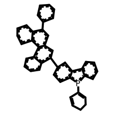 C1=CC(p2c3ccccc3c3cc(-c4cc5cc(-c6ccccc6)c6ccccc6c5c5ccccc45)ccc32)=CCC1